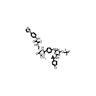 COC(=O)[C@H](CCNC(=O)C(=O)Nc1ccc(-n2ccnc2)cc1)NC(=O)c1ccc(Nc2nc(NC3(c4ccc(Cl)cc4)CC3)nc(OCC(F)(F)F)n2)cc1